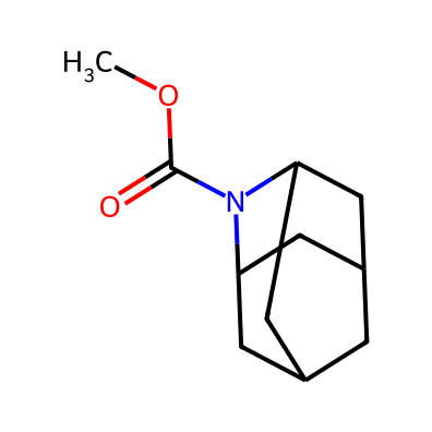 COC(=O)N1C2CC3CC(C2)CC1C3